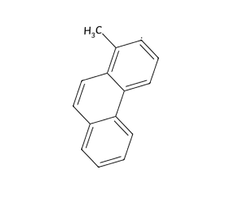 Cc1[c]ccc2c1ccc1ccccc12